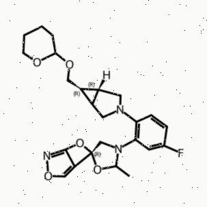 CC1O[C@@]2(CN1c1cc(F)ccc1N1CC3[C@@H](COC4CCCCO4)[C@@H]3C1)Oc1nocc12